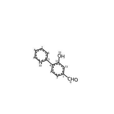 O=Cc1ccc(-c2ccccn2)c(O)c1